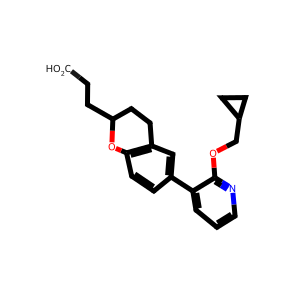 O=C(O)CCC1CCc2cc(-c3cccnc3OCC3CC3)ccc2O1